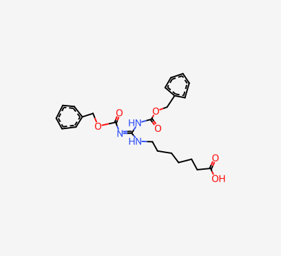 O=C(O)CCCCCCNC(=NC(=O)OCc1ccccc1)NC(=O)OCc1ccccc1